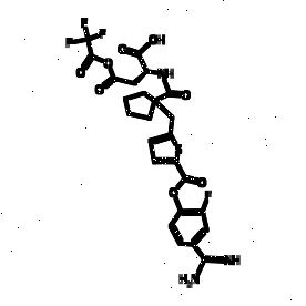 N=C(N)c1ccc(OC(=O)c2ccc(CC3(C(=O)N[C@@H](CC(=O)OC(=O)C(F)(F)F)C(=O)O)CCCC3)s2)c(F)c1